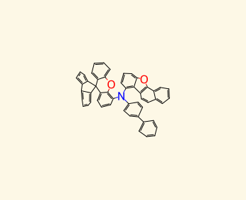 c1ccc(-c2ccc(N(c3cccc4c3Oc3ccccc3C43c4ccccc4-c4ccccc43)c3cccc4oc5c6ccccc6ccc5c34)cc2)cc1